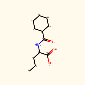 CCCC(NC(=O)C1CCCCC1)C(=O)O